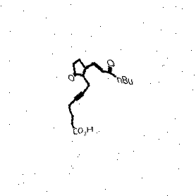 CCCCC(=O)C=CC1CCC(=O)C1CC#CCCCC(=O)O